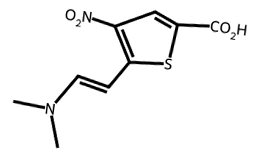 CN(C)C=Cc1sc(C(=O)O)cc1[N+](=O)[O-]